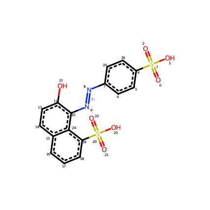 O=S(=O)(O)c1ccc(/N=N/c2c(O)ccc3cccc(S(=O)(=O)O)c23)cc1